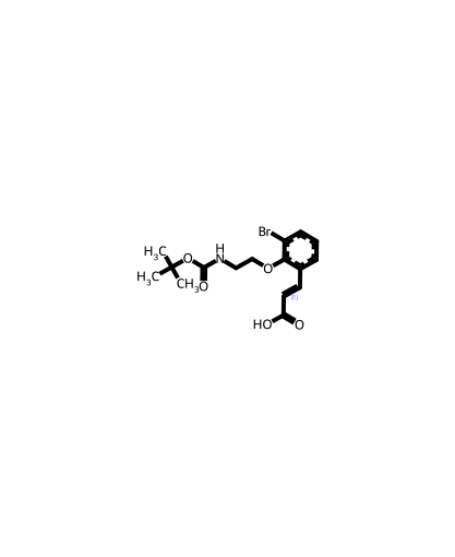 CC(C)(C)OC(=O)NCCOc1c(Br)cccc1/C=C/C(=O)O